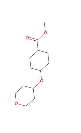 COC(=O)C1CCC(OC2CCOCC2)CC1